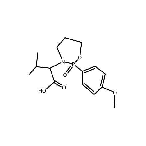 COc1ccc(P2(=O)OCCCN2C(C(=O)O)C(C)C)cc1